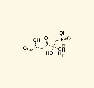 CC(O)(CP(=O)(O)O)C(=O)CN(O)C=O